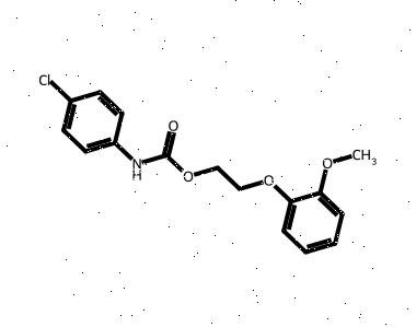 COc1ccccc1OCCOC(=O)Nc1ccc(Cl)cc1